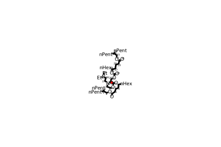 CCCCCCC(CCCC(=O)OCC(CCCCC)CCCCC)OC(=O)OCCN(CCOC(=O)OC(CCCCCC)CCCC(=O)OCC(CCCCC)CCCCC)CCN(CC)CC